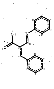 O=C(O)C(=Cc1ccccc1)N=Nc1ccccc1